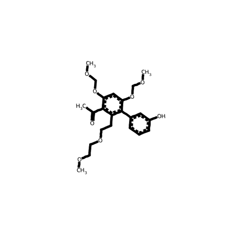 COCCOCCc1c(C(C)=O)c(OCOC)cc(OCOC)c1-c1cccc(O)c1